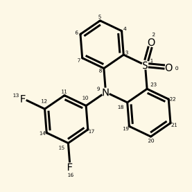 O=S1(=O)c2ccccc2N(c2cc(F)cc(F)c2)c2ccccc21